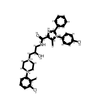 Cc1c(Cl)cccc1N1CCN(CC(O)CNC(=O)c2nc(-c3ccccc3)n(-c3ccc(Cl)cc3)c2C)CC1